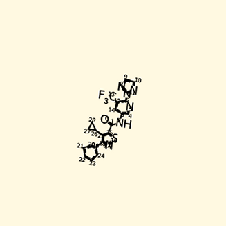 O=C(Nc1cnc(-n2nccn2)c(C(F)(F)F)c1)c1snc(-c2ccccc2)c1C1CC1